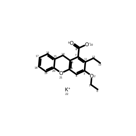 CCOc1cc2c(c(C(=O)[O-])c1CC)Cc1ccccc1O2.[K+]